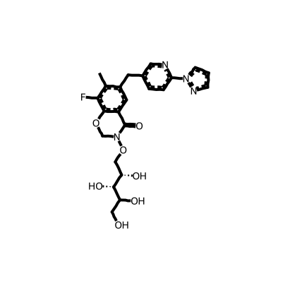 Cc1c(Cc2ccc(-n3cccn3)nc2)cc2c(c1F)OCN(OC[C@H](O)[C@@H](O)C(O)CO)C2=O